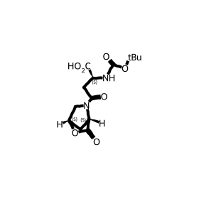 CC(C)(C)OC(=O)N[C@@H](CC(=O)N1C[C@@H]2C[C@H]1C(=O)O2)C(=O)O